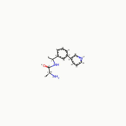 CC(NC(=O)[C@H](C)N)c1cccc(-c2cccnc2)c1